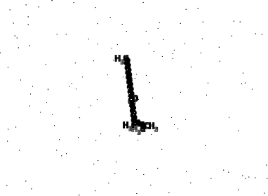 CCCCCCCCCCCCCCCCCC(=O)OCCCCCCCCC(C)CCCC(C)C